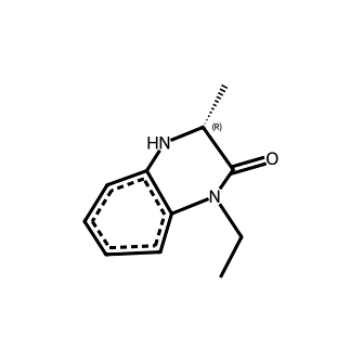 CCN1C(=O)[C@@H](C)Nc2ccccc21